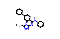 Cc1nnc2nc(Nc3ccccc3)c3ccc(-c4ccccc4)cc3n12